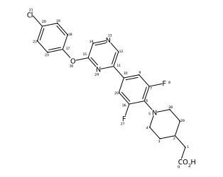 O=C(O)CC1CCN(c2c(F)cc(-c3cncc(Oc4ccc(Cl)cc4)n3)cc2F)CC1